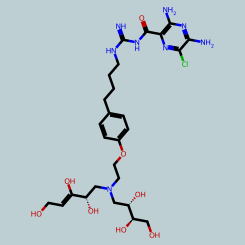 N=C(NCCCCc1ccc(OCCN(C[C@H](O)C(O)=CCO)C[C@H](O)[C@H](O)CO)cc1)NC(=O)c1nc(Cl)c(N)nc1N